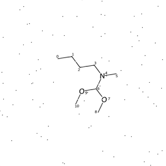 CCCCN(C)C(OC)OC